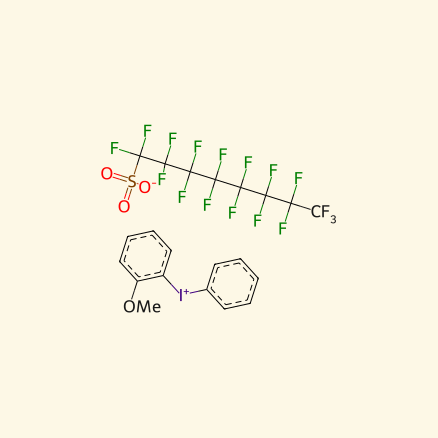 COc1ccccc1[I+]c1ccccc1.O=S(=O)([O-])C(F)(F)C(F)(F)C(F)(F)C(F)(F)C(F)(F)C(F)(F)C(F)(F)C(F)(F)F